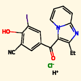 CCc1nc2ccccn2c1C(=O)c1cc(I)c(O)c(C#N)c1.[Cl-].[H+]